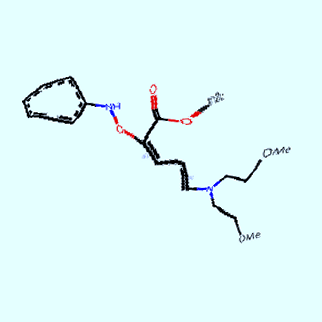 CCCCOC(=O)/C(=C\C=C\N(CCOC)CCOC)ONc1ccccc1